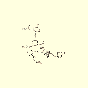 CCOc1ccccc1C=CC(=O)O.COC1CCCC(C(=O)O)C1.O=C(O)C=Cc1ccc(F)cc1.O=C(O)Cc1cc(F)ccc1F